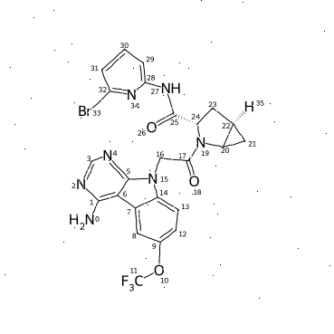 Nc1ncnc2c1c1cc(OC(F)(F)F)ccc1n2CC(=O)N1C2C[C@@H]2C[C@H]1C(=O)Nc1cccc(Br)n1